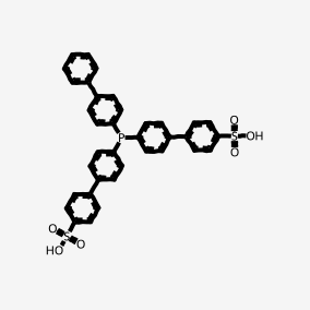 O=S(=O)(O)c1ccc(-c2ccc(P(c3ccc(-c4ccccc4)cc3)c3ccc(-c4ccc(S(=O)(=O)O)cc4)cc3)cc2)cc1